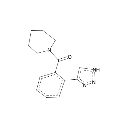 O=C(c1ccccc1-c1c[nH]nn1)N1CCCCC1